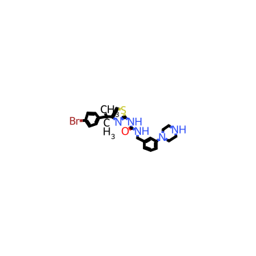 CC(C)(c1ccc(Br)cc1)c1csc(NC(=O)NCc2cccc(N3CCNCC3)c2)n1